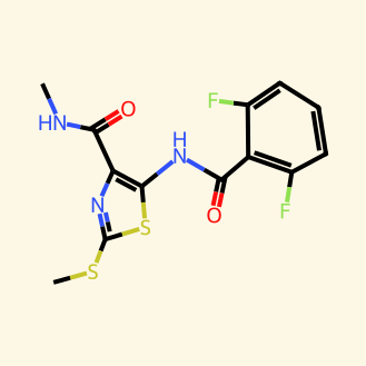 CNC(=O)c1nc(SC)sc1NC(=O)c1c(F)cccc1F